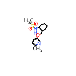 CCS(=O)(=O)NC1CCCCC1COc1ccc(C)nc1